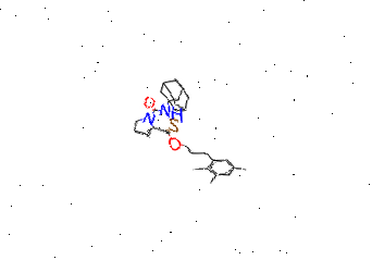 Cc1cc(C)c(C)c(CCCOC(=S)C2CCCN2C(=O)NC23CC4CC(CC(C4)C2)C3)c1